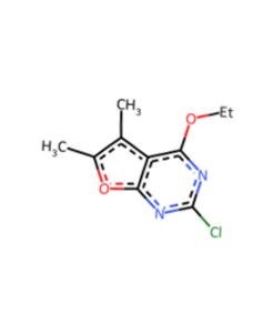 CCOc1nc(Cl)nc2oc(C)c(C)c12